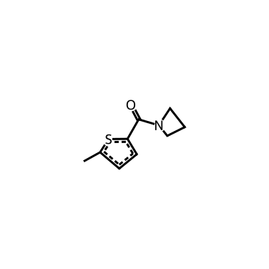 Cc1ccc(C(=O)N2CCC2)s1